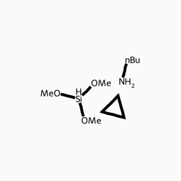 C1CC1.CCCCN.CO[SiH](OC)OC